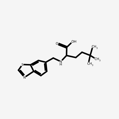 CC(C)(C)CCC(NCc1ccc2ncsc2c1)C(=O)O